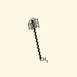 CCCCCCCCCCCCCCCCCCCNNNNC(=O)O